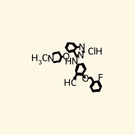 C#Cc1cc(Nc2ncnc3cccc(OC4CCN(C)CC4)c23)ccc1OCc1ccccc1F.Cl